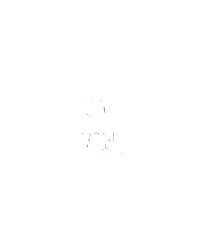 O=c1ccnc(-c2ccc(Cl)cc2)[nH]1